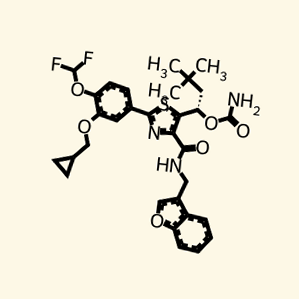 CC(C)(C)C[C@H](OC(N)=O)c1sc(-c2ccc(OC(F)F)c(OCC3CC3)c2)nc1C(=O)NCc1coc2ccccc12